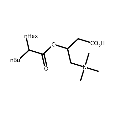 CCCCCCC(CCCC)C(=O)OC(CC(=O)O)C[N+](C)(C)C